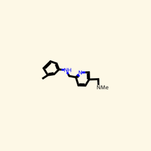 CNCc1ccc(CNc2cccc(C)c2)nc1